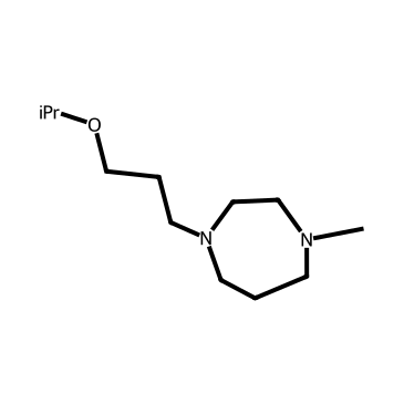 CC(C)OCCCN1CCCN(C)CC1